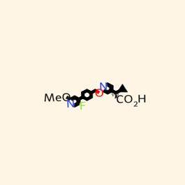 COc1cc(C2CCC(COc3cc([C@H](CC(=O)O)C4CC4)ccn3)CC2)c(F)cn1